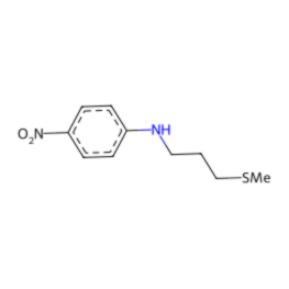 CSCCCNc1ccc([N+](=O)[O-])cc1